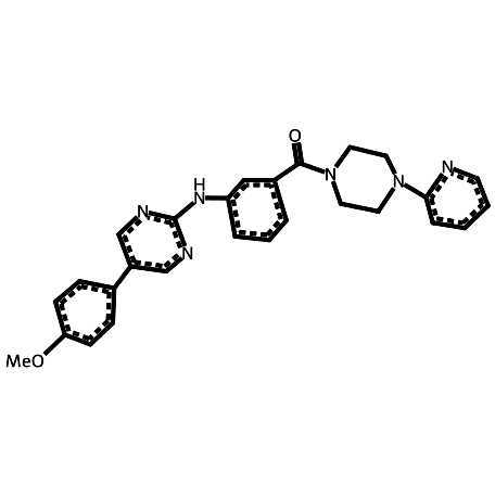 COc1ccc(-c2cnc(Nc3cccc(C(=O)N4CCN(c5ccccn5)CC4)c3)nc2)cc1